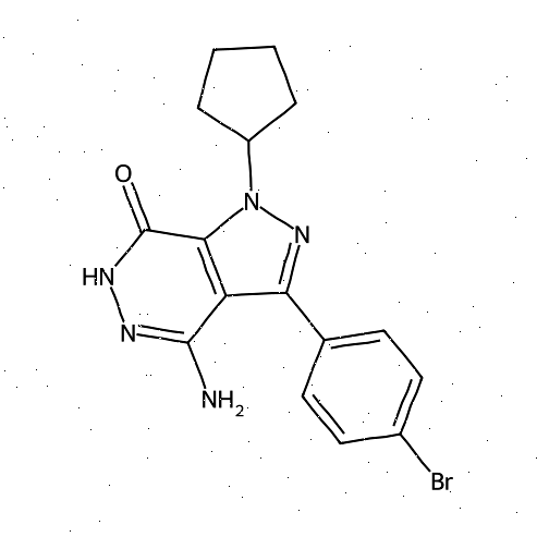 Nc1n[nH]c(=O)c2c1c(-c1ccc(Br)cc1)nn2C1CCCC1